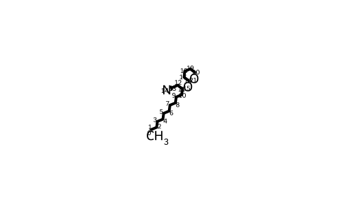 CCCCCCCCCCCC(CC#N)O[C@@H]1CCCCO1